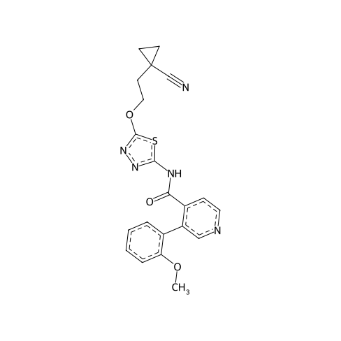 COc1ccccc1-c1cnccc1C(=O)Nc1nnc(OCCC2(C#N)CC2)s1